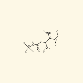 CCC(C)C(NC)C(CC(=O)OC(C)(C)C)OC